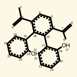 C=C(C)c1ccc(C(=C)C)c(-c2ccccc2O)c1-c1ccccc1O